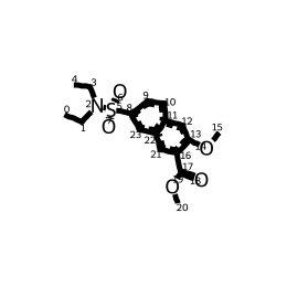 CCN(CC)S(=O)(=O)c1ccc2cc(OC)c(C(=O)OC)cc2c1